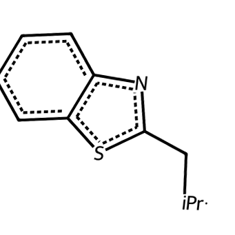 C[C](C)Cc1nc2ccccc2s1